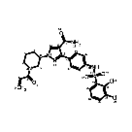 C=CC(=O)N1CCC[C@@H](n2cc(C(N)=O)c(-c3ccc(NS(=O)(=O)c4cccc(Cl)c4Cl)cc3)n2)C1